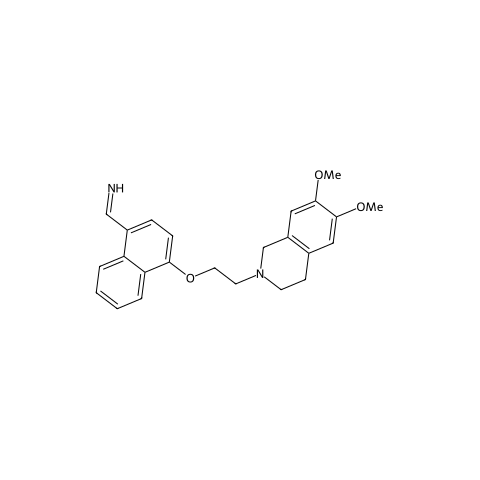 COc1cc2c(cc1OC)CN(CCOc1ccc(C=N)c3ccccc13)CC2